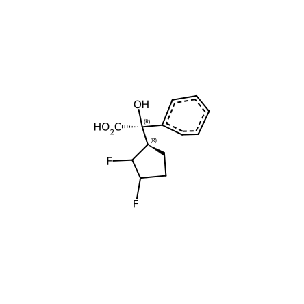 O=C(O)[C@](O)(c1ccccc1)[C@H]1CCC(F)C1F